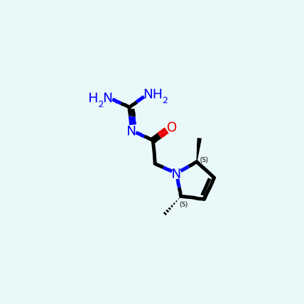 C[C@H]1C=C[C@H](C)N1CC(=O)N=C(N)N